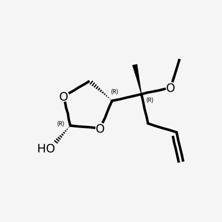 C=CC[C@@](C)(OC)[C@H]1CO[C@@H](O)O1